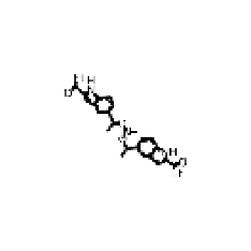 CCC(=O)c1cc2cc(C(C)ON(C)OC(C)c3ccc4[nH]c(C(=O)CC)cc4c3)ccc2[nH]1